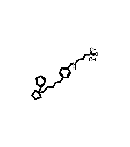 O=P(O)(O)CCCNCc1ccc(CCCCCC2(c3ccccc3)CCCC2)cc1